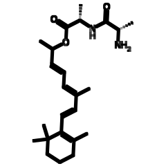 CC(C=CC1=C(C)CCCC1(C)C)=CC=CC(C)OC(=O)[C@H](C)NC(=O)[C@H](C)N